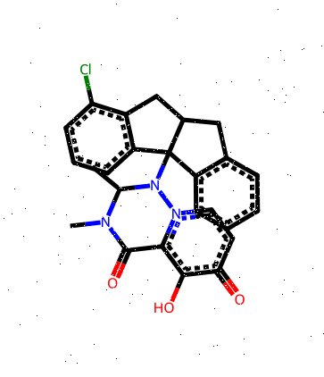 CC1N(C)C(=O)c2c(O)c(=O)ccn2N1C12c3ccccc3CC1Cc1c(Cl)cccc12